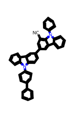 N#Cc1cc(-c2ccc3c(c2)c2ccccc2n3-c2ccc(-c3ccccc3)cc2)cc2c3ccccc3n(-c3ccccc3)c12